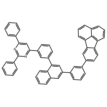 c1ccc(-c2cc(-c3cccc(-c4cc(-c5cccc(-c6ccc7c(c6)-c6cccc8cccc-7c68)c5)cc5ccccc45)c3)nc(-c3ccccc3)n2)cc1